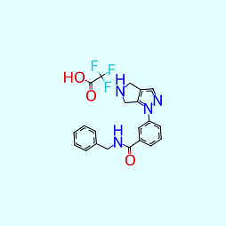 O=C(NCc1ccccc1)c1cccc(-n2ncc3c2CNC3)c1.O=C(O)C(F)(F)F